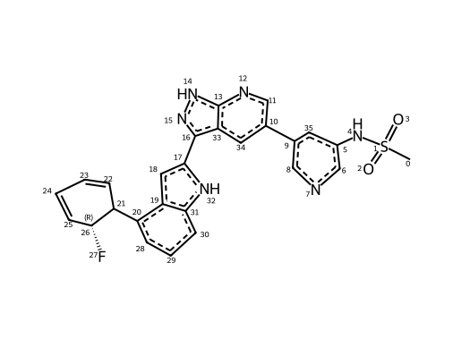 CS(=O)(=O)Nc1cncc(-c2cnc3[nH]nc(-c4cc5c(C6C=CC=C[C@H]6F)cccc5[nH]4)c3c2)c1